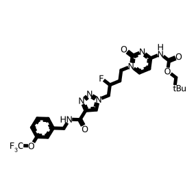 CC(C)(C)COC(=O)Nc1ccn(CCC(F)Cn2cc(C(=O)NCc3cccc(OC(F)(F)F)c3)nn2)c(=O)n1